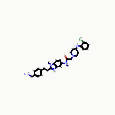 CN(C(=O)CN1CCC(Nc2ccccc2Br)CC1)c1ccc2c(c1)nc(CCc1ccc(CN)cc1)n2C